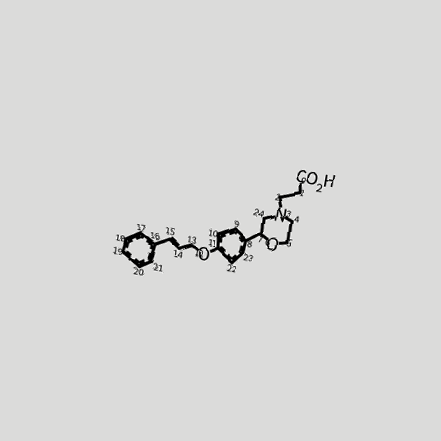 O=C(O)CCN1CCOC(c2ccc(OCC=Cc3ccccc3)cc2)C1